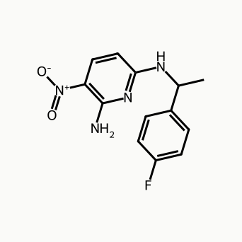 CC(Nc1ccc([N+](=O)[O-])c(N)n1)c1ccc(F)cc1